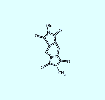 Cn1c(=O)c2cc3c(=O)n(C(C)(C)C)c(=O)c3cc2c1=O